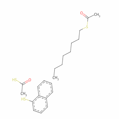 CC(=O)S.CCCCCCCCSC(C)=O.Sc1cccc2ccccc12